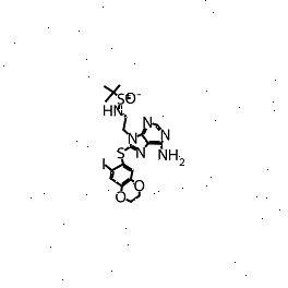 CC(C)(C)[S+]([O-])NCCn1c(Sc2cc3c(cc2I)OCCO3)nc2c(N)ncnc21